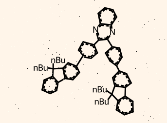 CCCCC1(CCCC)c2ccccc2-c2ccc(-c3ccc(-c4nc5ccccc5nc4-c4ccc(-c5ccc6c(c5)C(CCCC)(CCCC)c5ccccc5-6)cc4)cc3)cc21